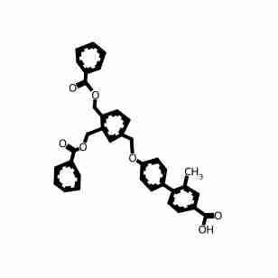 Cc1cc(C(=O)O)ccc1-c1ccc(OCc2ccc(COC(=O)c3ccccc3)c(COC(=O)c3ccccc3)c2)cc1